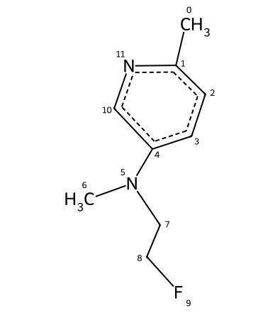 Cc1ccc(N(C)CCF)cn1